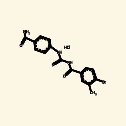 Cc1cc(C(=O)NC(=S)Nc2ccc(C(N)=O)cc2)ccc1Br.Cl